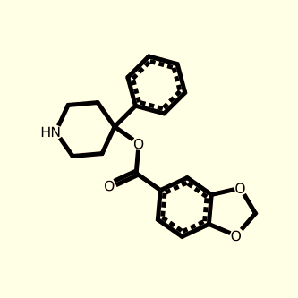 O=C(OC1(c2ccccc2)CCNCC1)c1ccc2c(c1)OCO2